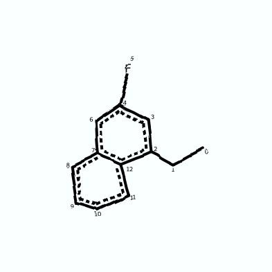 CCc1cc(F)cc2ccccc12